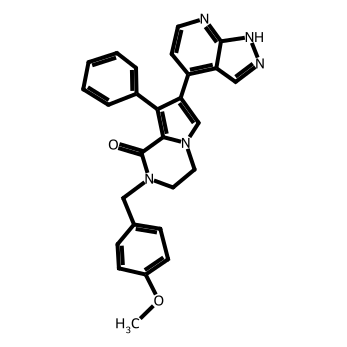 COc1ccc(CN2CCn3cc(-c4ccnc5[nH]ncc45)c(-c4ccccc4)c3C2=O)cc1